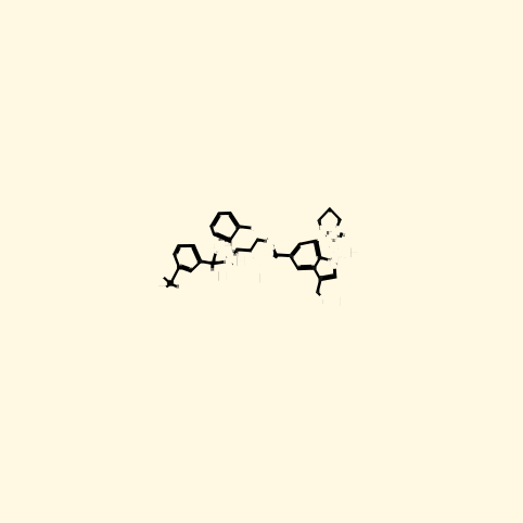 CCc1cn(C)c2c(N3CCCS3(=O)=O)cc(C(=O)N[C@@H](Cc3ccccc3)[C@H](O)CNC(C)(C)c3cccc(C(F)(F)F)c3)cc12